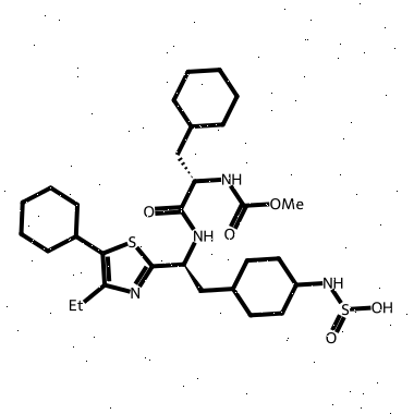 CCc1nc([C@H](CC2CCC(NS(=O)O)CC2)NC(=O)[C@H](CC2CCCCC2)NC(=O)OC)sc1C1CCCCC1